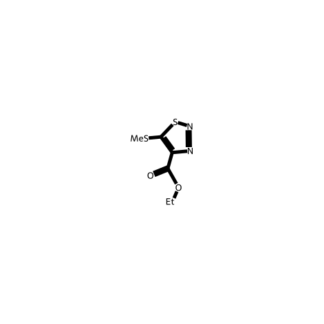 CCOC(=O)c1nnsc1SC